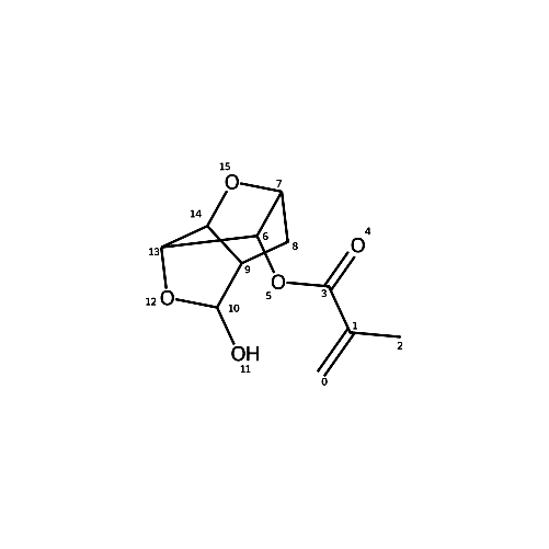 C=C(C)C(=O)OC1C2CC3C(O)OC1C3O2